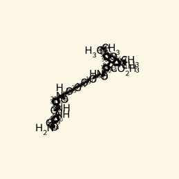 CN(C)c1ccc2c(-c3ccc(C(=O)NCCOCCOCCOCCOCCC(=O)Nc4cccc(NC(=O)Nc5ccc(S(N)(=O)=O)cc5)c4)cc3C(=O)O)c3ccc(=[N+](C)C)cc-3oc2c1